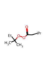 CCC(C)(C)OOC(=O)CC(C)C